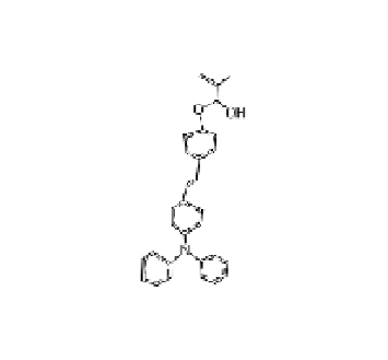 C=C(C)C(O)Oc1ccc(C=Cc2ccc(N(c3ccccc3)c3ccccc3)cc2)cc1